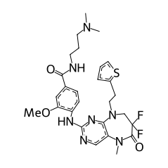 COc1cc(C(=O)NCCCN(C)C)ccc1Nc1ncc2c(n1)N(CCc1cccs1)CC(F)(F)C(=O)N2C